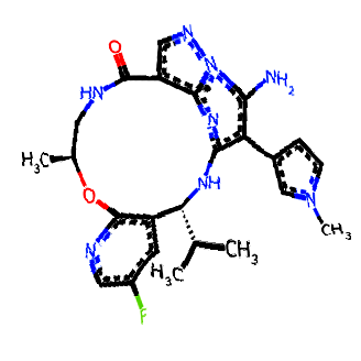 CC(C)[C@H]1Nc2nc3c(cnn3c(N)c2-c2ccn(C)c2)C(=O)NC[C@H](C)Oc2ncc(F)cc21